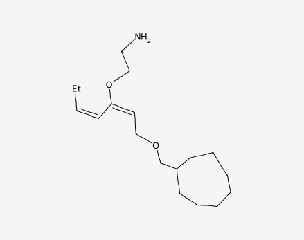 CC/C=C\C(=C/COCC1CCCCCCC1)OCCN